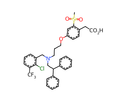 CS(=O)(=O)c1cc(OCCCN(Cc2cccc(C(F)(F)F)c2Cl)CC(c2ccccc2)c2ccccc2)ccc1CC(=O)O